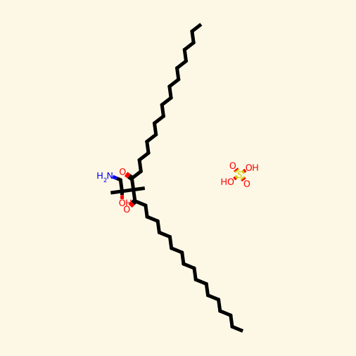 CCCCCCCCCCCCCCCCCC(=O)C(C)(C(=O)CCCCCCCCCCCCCCCCC)C(C)(O)CN.O=S(=O)(O)O